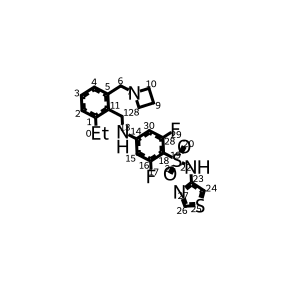 CCc1cccc(CN2CCC2)c1CNc1cc(F)c(S(=O)(=O)Nc2cscn2)c(F)c1